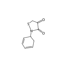 O=C1CSN([C]2C=CC=CC2)C1=O